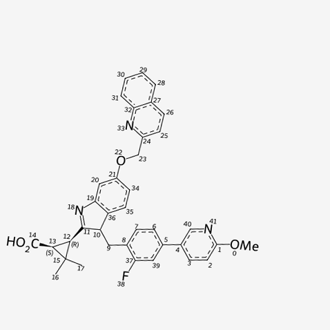 COc1ccc(-c2ccc(CC3C([C@@H]4[C@H](C(=O)O)C4(C)C)=Nc4cc(OCc5ccc6ccccc6n5)ccc43)c(F)c2)cn1